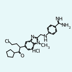 Cl.Cn1c(CNc2ccc(C(=N)N)cc2)nc2cc(C(CCCl)C(=O)C3CCCC3)ccc21